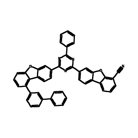 N#Cc1cccc2c1oc1cc(-c3nc(-c4ccccc4)nc(-c4ccc5c(c4)oc4cccc(-c6cccc(-c7ccccc7)c6)c45)n3)ccc12